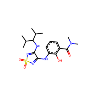 CC(C)C(NC1=NS(=O)(=O)N=C1Nc1cccc(C(=O)N(C)C)c1O)C(C)C